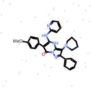 COc1ccc(-c2c(Nc3ccccn3)[nH]c3c(N4CCCCC4)c(-c4ccccc4)nn3c2=O)cc1